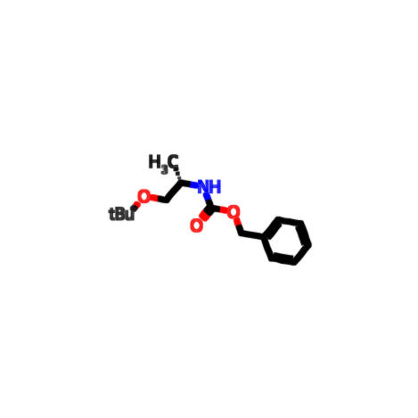 C[C@@H](COC(C)(C)C)NC(=O)OCc1ccccc1